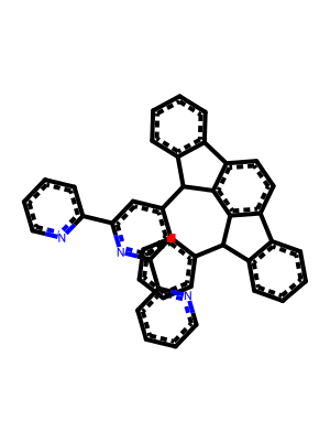 c1ccc(C2c3ccccc3-c3ccc4c(c32)C(c2cc(-c3ccccn3)nc(-c3ccccn3)c2)c2ccccc2-4)cc1